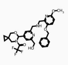 COc1ccc(OCc2ccccc2)c(CNCc2cc(C3OCC4(CC4)CN3C(=O)C(F)(F)F)cc(CO)n2)n1